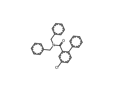 O=C(c1cc(Cl)ccc1-c1ccccc1)N(Cc1ccccc1)Cc1ccccc1